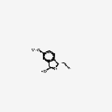 COc1ccc2c(c1)B(O)O[C@@H]2CC(C)=O